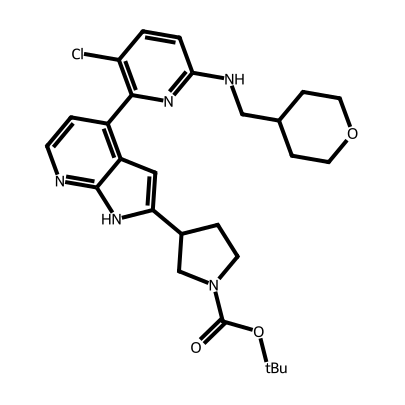 CC(C)(C)OC(=O)N1CCC(c2cc3c(-c4nc(NCC5CCOCC5)ccc4Cl)ccnc3[nH]2)C1